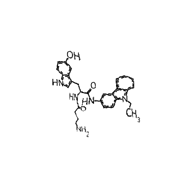 CCn1c2ccccc2c2cc(NC(=O)C(Cc3c[nH]c4ccc(O)cc34)NC(=O)CCCN)ccc21